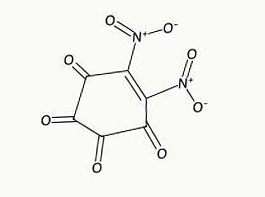 O=c1c([N+](=O)[O-])c([N+](=O)[O-])c(=O)c(=O)c1=O